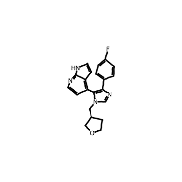 Fc1ccc(-c2ncn(C[C@H]3CCOC3)c2-c2ccnc3[nH]ccc23)cc1